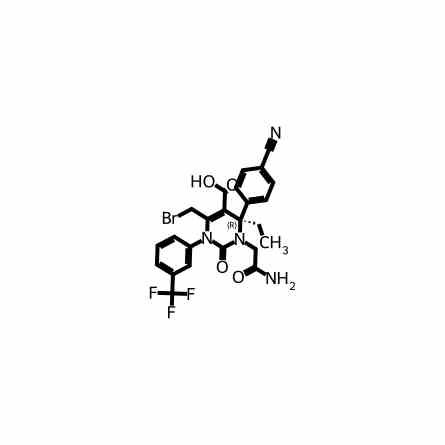 CC[C@@]1(c2ccc(C#N)cc2)C(C(=O)O)=C(CBr)N(c2cccc(C(F)(F)F)c2)C(=O)N1CC(N)=O